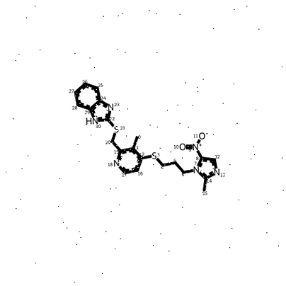 Cc1c(SCCCn2c([N+](=O)[O-])cnc2C)ccnc1CSc1nc2ccccc2[nH]1